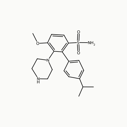 COc1ccc(S(N)(=O)=O)c(-c2ccc(C(C)C)cc2)c1N1CCNCC1